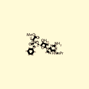 CCCNc1nc(N)nc2c1ncn2[C@@H]1O[C@H](CON([C@@H](C)C(=O)OC)[PH](=O)Oc2ccccc2)[C@@H](O)[C@@]1(C)F